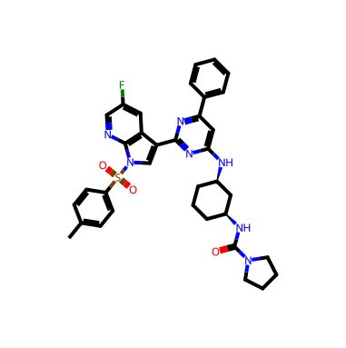 Cc1ccc(S(=O)(=O)n2cc(-c3nc(N[C@@H]4CCC[C@H](NC(=O)N5CCCC5)C4)cc(-c4ccccc4)n3)c3cc(F)cnc32)cc1